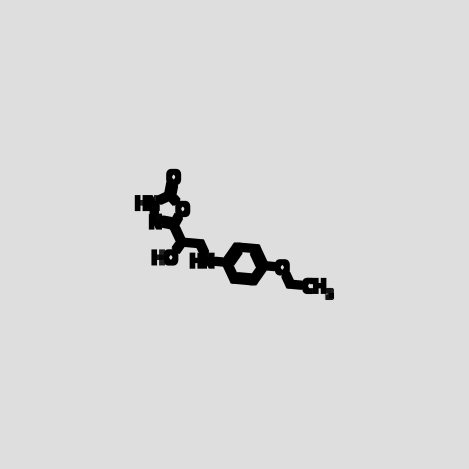 CCOc1ccc(NCC(O)c2n[nH]c(=O)o2)cc1